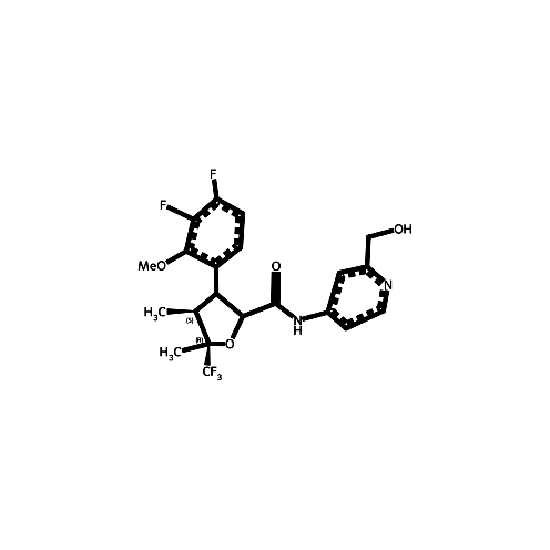 COc1c(C2C(C(=O)Nc3ccnc(CO)c3)O[C@@](C)(C(F)(F)F)[C@H]2C)ccc(F)c1F